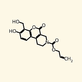 C=CCOC(=O)N1CCc2c(c(=O)oc3c(CO)c(O)ccc23)C1